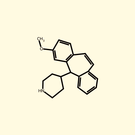 COc1ccc2c(c1)C(C1CCNCC1)c1ccccc1C=C2